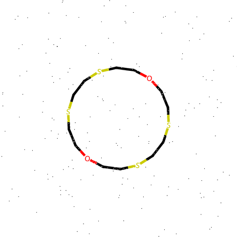 C1CSCCSCCOCCSCCSCCO1